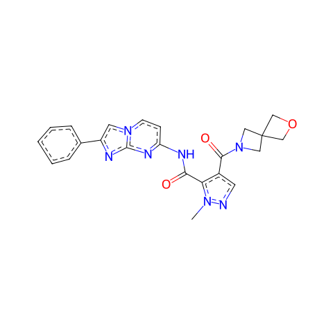 Cn1ncc(C(=O)N2CC3(COC3)C2)c1C(=O)Nc1ccn2cc(-c3ccccc3)nc2n1